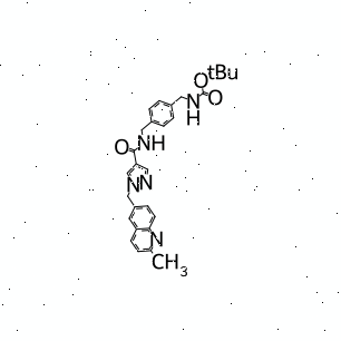 Cc1ccc2cc(Cn3cc(C(=O)NCc4ccc(CNC(=O)OC(C)(C)C)cc4)cn3)ccc2n1